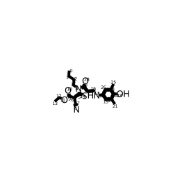 CCCCn1c(=C(C#N)C(=O)OCC)sc(=CNc2cc(C)c(O)c(C)c2)c1=O